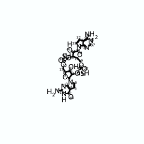 Nc1nc2c(ccn2C2OC3COP(=O)(S)OC4C(COP(=O)(S)OC2C3O)OC(n2ccc3c(N)ncnc32)C4O)c(=O)[nH]1